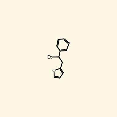 [CH2]CC(Cc1ccco1)c1ccccc1